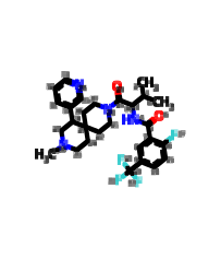 CC(C)[C@@H](NC(=O)c1cc(C(F)(F)F)ccc1F)C(=O)N1CCC2(CCN(C)CC2c2cccnc2)CC1